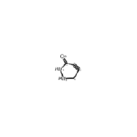 O=C1C#CCNN1